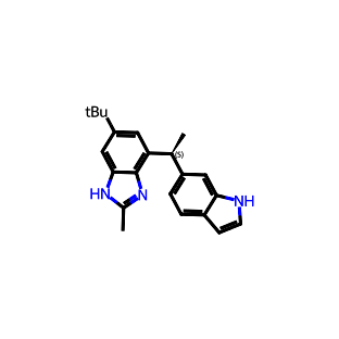 Cc1nc2c([C@@H](C)c3ccc4cc[nH]c4c3)cc(C(C)(C)C)cc2[nH]1